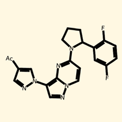 CC(=O)c1cnn(-c2cnn3ccc(N4CCCC4c4cc(F)ccc4F)nc23)c1